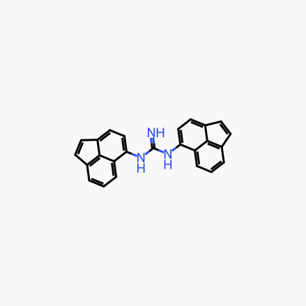 N=C(Nc1ccc2c3c(cccc13)C=C2)Nc1ccc2c3c(cccc13)C=C2